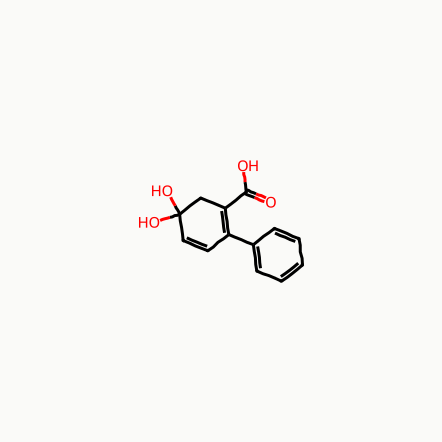 O=C(O)C1=C(c2ccccc2)C=CC(O)(O)C1